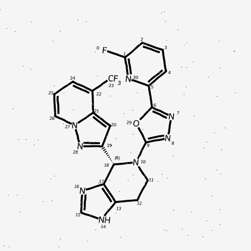 Fc1cccc(-c2nnc(N3CCc4[nH]cnc4[C@@H]3c3cc4c(C(F)(F)F)cccn4n3)o2)n1